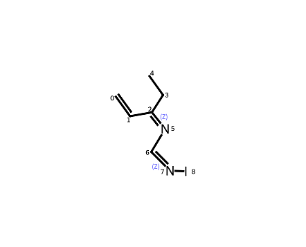 C=C/C(CC)=N\C=N/I